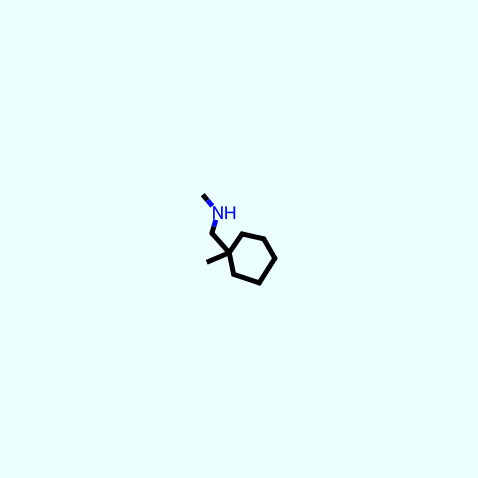 CNCC1(C)CCCCC1